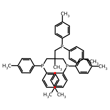 Cc1ccc(P(CC(C)(CP(c2ccc(C)cc2)c2ccc(C)cc2)CP(c2ccc(C)cc2)c2ccc(C)cc2)c2ccc(C)cc2)cc1